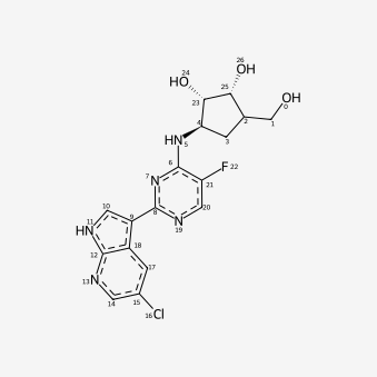 OCC1C[C@@H](Nc2nc(-c3c[nH]c4ncc(Cl)cc34)ncc2F)[C@H](O)[C@@H]1O